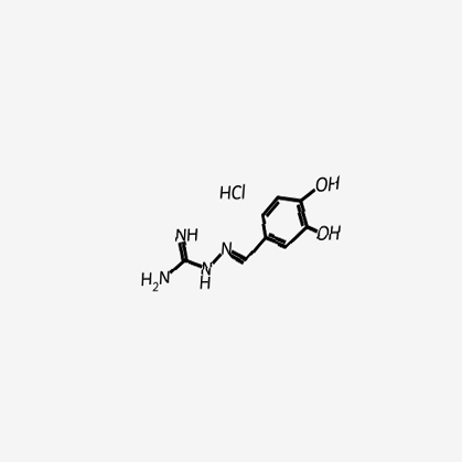 Cl.N=C(N)N/N=C/c1ccc(O)c(O)c1